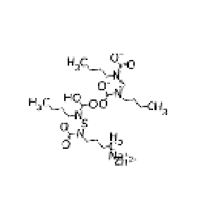 CCCCN(SN(CCCC)C(=O)O)C(=O)[O-].CCCCN(SN(CCCC)C(=O)[O-])C(=O)[O-].[Na+].[Zn+2]